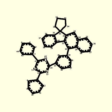 c1ccc(-c2nc(-c3ccccc3)nc(-c3cccc(-c4c5c(cc6ccccc46)C4(CCCC4)c4ccccc4-5)c3)n2)cc1